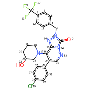 O=c1n(Cc2ccc(C(F)(F)F)cc2)nc2c(N3CCCC(O)C3)c(-c3ccc(Cl)cc3)cnn12